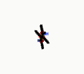 CCCCCCCCOC(=O)C(C#N)=C1Sc2c(OCCCCCCCC)c3c(c(OCCCCCCCC)c2S1)SC(=C(C(=O)OCCCCCCCC)[C@H]1CN1)S3